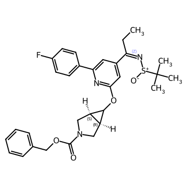 CC/C(=N/[S+]([O-])C(C)(C)C)c1cc(OC2[C@H]3CN(C(=O)OCc4ccccc4)C[C@@H]23)nc(-c2ccc(F)cc2)c1